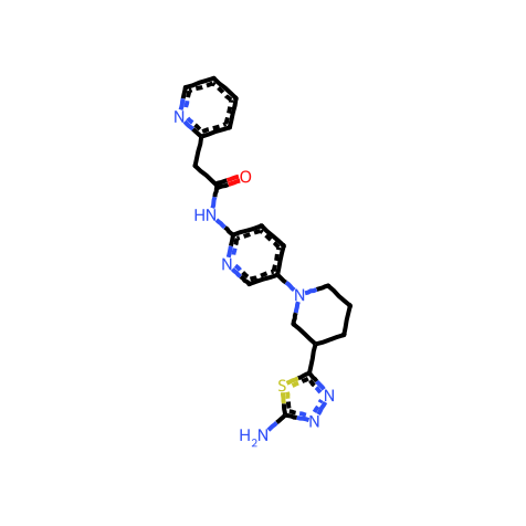 Nc1nnc(C2CCCN(c3ccc(NC(=O)Cc4ccccn4)nc3)C2)s1